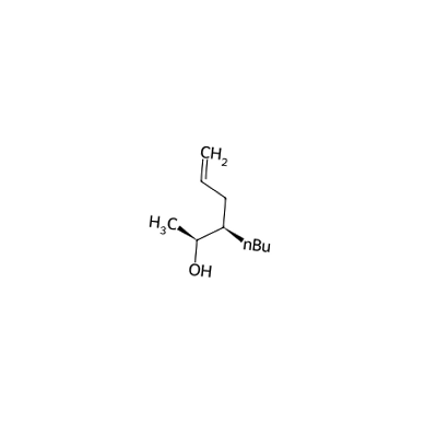 C=CC[C@@H](CCCC)[C@H](C)O